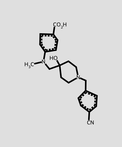 CN(CC1(O)CCN(Cc2ccc(C#N)cc2)CC1)c1ccc(C(=O)O)cc1